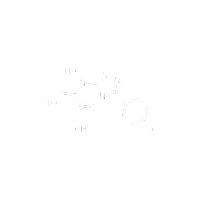 COC(=O)C(=CO)N(C)c1nc(-c2ccc(Cl)cc2)ns1